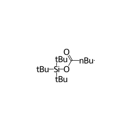 CCC[CH]C(=O)O[Si](C(C)(C)C)(C(C)(C)C)C(C)(C)C